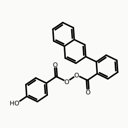 O=C(OOC(=O)c1ccccc1-c1ccc2ccccc2c1)c1ccc(O)cc1